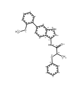 COc1ccccc1-c1ccc2c(NC(=O)C(C)Oc3ccccc3)n[nH]c2c1